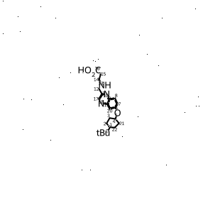 CC(C)(C)C1CCC(Oc2ccc3nc(CNCCC(=O)O)cnc3c2)CC1